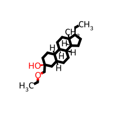 CCOC[C@]1(O)CC[C@H]2[C@H](CC[C@@H]3[C@@H]2CC[C@]2(C)[C@@H](CC)CC[C@@H]32)C1